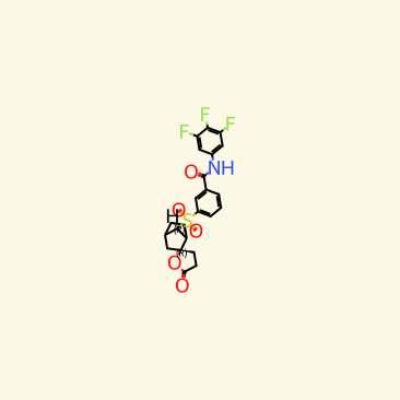 O=C1CC[C@]2(CC3CCC2[C@@H]3S(=O)(=O)c2cccc(C(=O)Nc3cc(F)c(F)c(F)c3)c2)O1